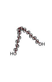 O=C(CCCCCO)OCCCCCC(=O)OCCCCCC(=O)OCCCCCC(=O)OCCCCCC(=O)Oc1ccc(C(=O)Oc2ccc3cccc(OC(=O)c4ccc(OC(=O)CCCCCOC(=O)CCCCCOC(=O)CCCCCOC(=O)CCCCCOC(=O)CCCCCO)cc4)c3c2)cc1